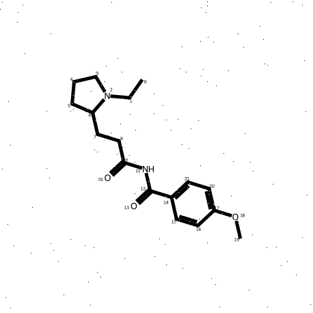 CCN1CCCC1CCC(=O)NC(=O)c1ccc(OC)cc1